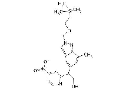 Cc1cc(C(CO)c2cc([N+](=O)[O-])ccn2)cc2cn(COCC[Si](C)(C)C)nc12